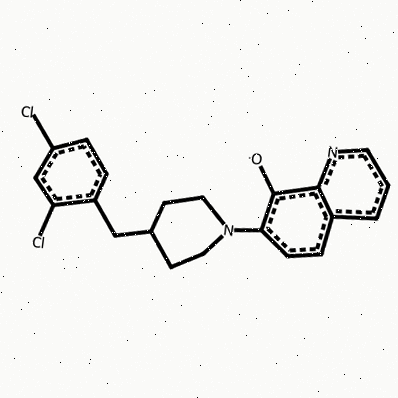 [O]c1c(N2CCC(Cc3ccc(Cl)cc3Cl)CC2)ccc2cccnc12